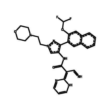 N=C/C(C(=O)Nc1cn(CCN2CCOCC2)nc1-c1cc2ccccc2cc1OC(F)F)=C1/N=CC=CN1